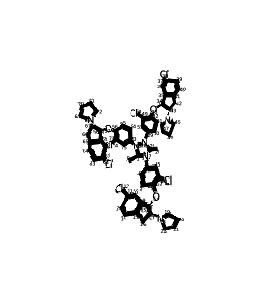 CC1N(c2ccc(O[C@H]3c4cc(Cl)ccc4C[C@@H]3N3CCCC3)c(Cl)c2)C(C)N(c2ccc(O[C@H]3c4cc(Cl)ccc4C[C@@H]3N3CCCC3)c(Cl)c2)N1c1ccc(O[C@H]2c3cc(Cl)ccc3C[C@@H]2N2CCCC2)c(Cl)c1